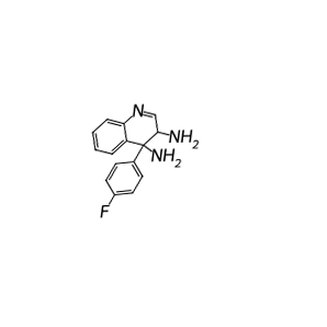 NC1C=Nc2ccccc2C1(N)c1ccc(F)cc1